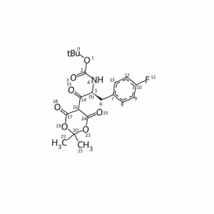 CC(C)(C)OC(=O)N[C@@H](Cc1ccc(F)cc1)C(=O)C1C(=O)OC(C)(C)OC1=O